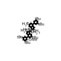 COc1c(C(C)(C)C)cc2c(c1-c1cc(C(C)(C)C)cc(C(C)(C)C)c1)C=C(C)C2[Si](C)(C)C1C(C)=Cc2c(-c3cc(C(C)(C)C)cc(C(C)(C)C)c3)cc(C)cc21